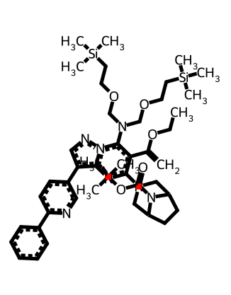 C=C(OCC)c1c(N2CC3CCC(C2)N3C(=O)OC(C)(C)C)nc2c(-c3ccc(-c4ccccc4)nc3)cnn2c1N(COCC[Si](C)(C)C)COCC[Si](C)(C)C